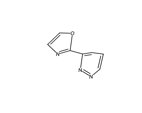 c1cnnc(-c2ncco2)c1